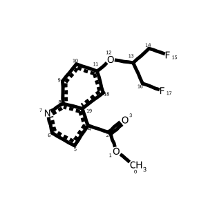 COC(=O)c1ccnc2ccc(OC(CF)CF)cc12